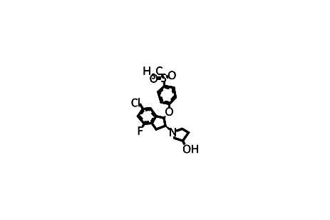 CS(=O)(=O)c1ccc(O[C@H]2c3cc(Cl)cc(F)c3C[C@@H]2N2CCC(O)C2)cc1